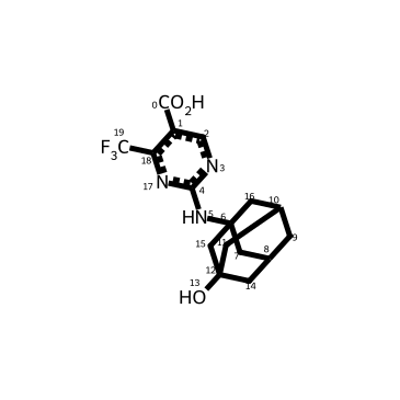 O=C(O)c1cnc(NC23CC4CC(CC(O)(C4)C2)C3)nc1C(F)(F)F